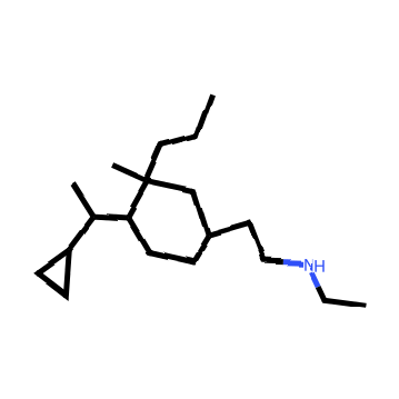 CCCC1(C)CC(CCNCC)CCC1C(C)C1CC1